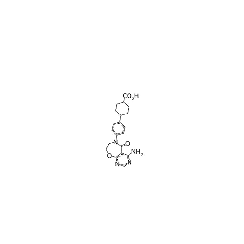 Nc1ncnc2c1C(=O)N(c1ccc(C3CCC(C(=O)O)CC3)cc1)CCO2